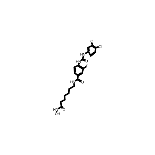 O=C(CCCCCCNC(=O)c1ccc(NC(=O)Nc2ccc(Cl)c(Cl)c2)c(F)c1)NO